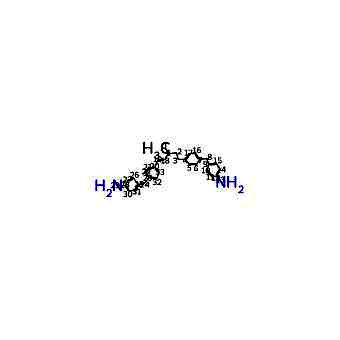 CC(CCc1ccc(Cc2ccc(N)cc2)cc1)CCc1ccc(Cc2ccc(N)cc2)cc1